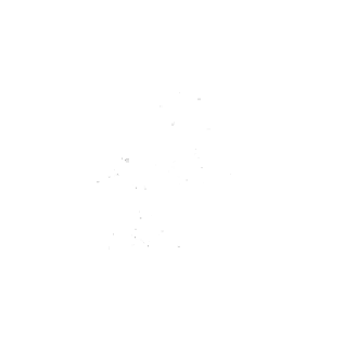 COc1ccc(C2CNC(=O)N(Cc3cc(C)nn3C)C2)cc1OC1CCCC1